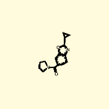 O=C(c1ccc2nc(C3CC3)oc2c1)N1CCCC1